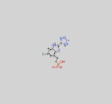 O=P(O)(O)CCc1cc(Cl)cc2[nH]c(-c3nnn[nH]3)nc12